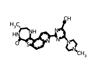 C#Cc1cc(N2CCN(C)CC2)nc(-c2ccc3c(ccc4sc5c(c43)NC[C@@H](C)NC5=O)n2)n1